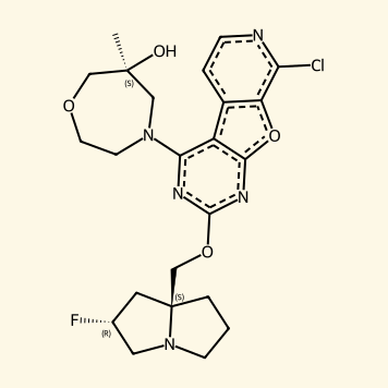 C[C@@]1(O)COCCN(c2nc(OC[C@@]34CCCN3C[C@H](F)C4)nc3oc4c(Cl)nccc4c23)C1